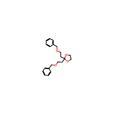 c1ccc(COCCC2(CCOCc3ccccc3)OCCO2)cc1